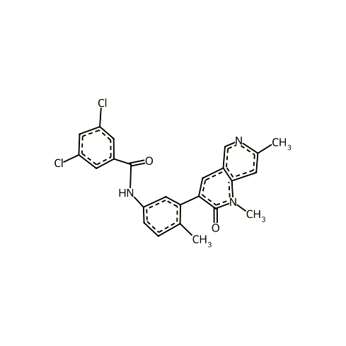 Cc1cc2c(cn1)cc(-c1cc(NC(=O)c3cc(Cl)cc(Cl)c3)ccc1C)c(=O)n2C